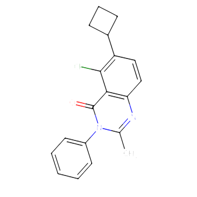 Cc1nc2ccc(C3CCC3)c(Cl)c2c(=O)n1-c1ccccc1